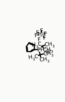 CC(C)(C)[PH+](c1ccccc1)C(C)(C)C.[F][Ti-2]([F])([F])([F])([F])[F].[H+]